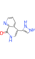 O=c1[nH]cc(-c2c[nH][nH]2)c2cccnc12